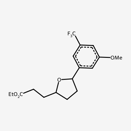 CCOC(=O)CCC1CCC(c2cc(OC)cc(C(F)(F)F)c2)O1